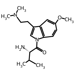 COc1ccc2c(c1)c(CCN(C)C)cn2C(=O)[C@@H](N)C(C)C